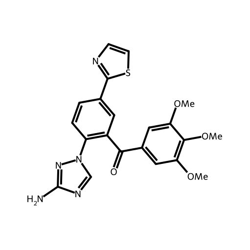 COc1cc(C(=O)c2cc(-c3nccs3)ccc2-n2cnc(N)n2)cc(OC)c1OC